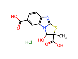 CC1(C(=O)O)Sc2nc3ccc(C(=O)O)cc3n2C1O.Cl